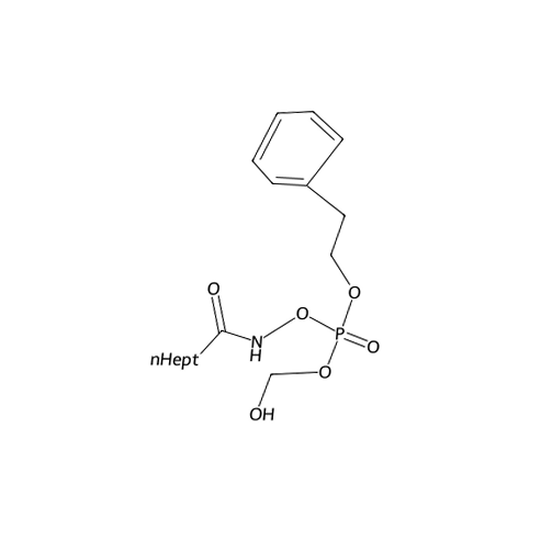 CCCCCCCC(=O)NOP(=O)(OCO)OCCc1ccccc1